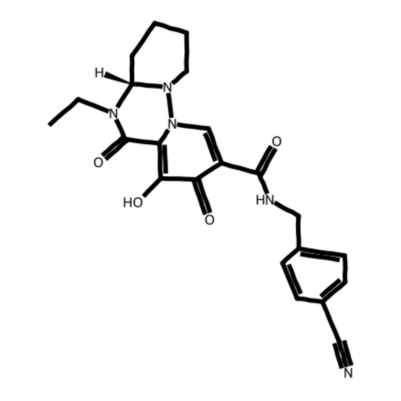 CCN1C(=O)c2c(O)c(=O)c(C(=O)NCc3ccc(C#N)cc3)cn2N2CCCC[C@@H]12